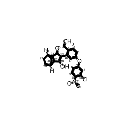 CCc1ccc(Oc2ccc([N+](=O)[O-])c(Cl)c2)cc1C1=C(O)C2C(C1=O)[C@H]1CC[C@@H]2CC1